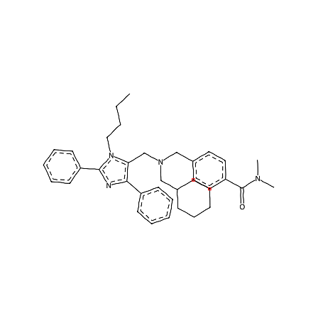 CCCCn1c(-c2ccccc2)nc(-c2ccccc2)c1CN(Cc1ccc(C(=O)N(C)C)cc1)CC1CCCCC1